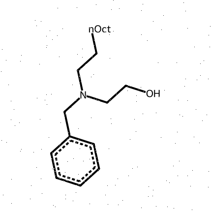 CCCCCCCCCCN(CCO)Cc1ccccc1